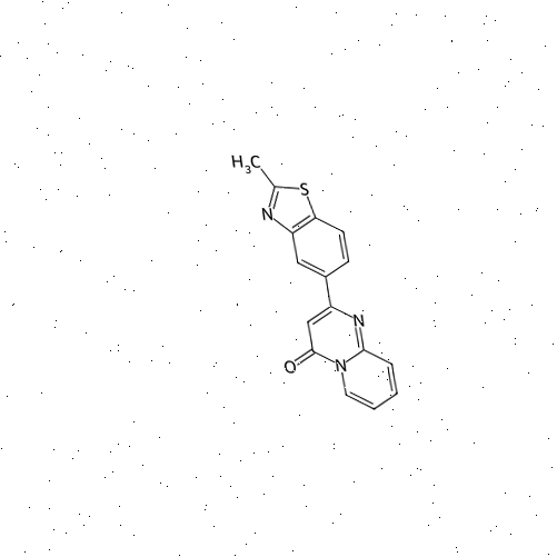 Cc1nc2cc(-c3cc(=O)n4ccccc4n3)ccc2s1